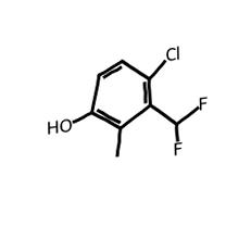 Cc1c(O)ccc(Cl)c1C(F)F